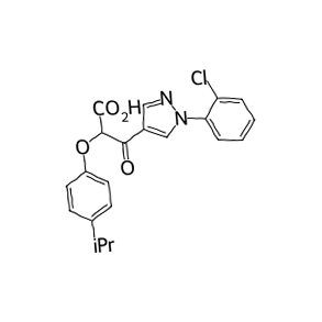 CC(C)c1ccc(OC(C(=O)O)C(=O)c2cnn(-c3ccccc3Cl)c2)cc1